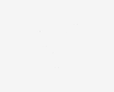 O=C([O-])OC(=O)[O-].[Ca+2]